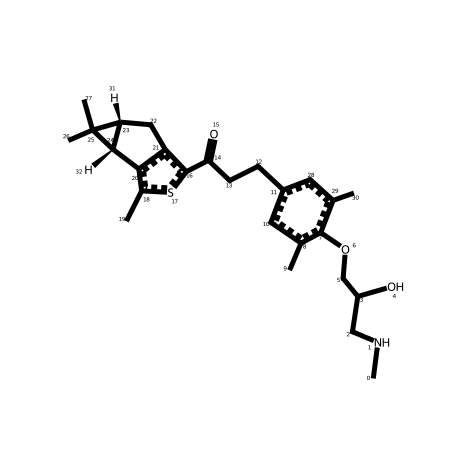 CNCC(O)COc1c(C)cc(CCC(=O)c2sc(C)c3c2C[C@@H]2[C@H]3C2(C)C)cc1C